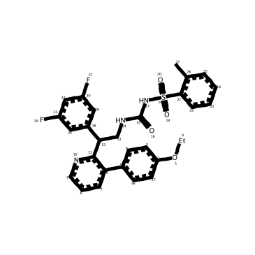 CCOc1ccc(-c2cccnc2C(CNC(=O)NS(=O)(=O)c2ccccc2C)c2cc(F)cc(F)c2)cc1